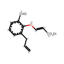 C=CCc1cccc(C=O)c1OC=CC(=O)OCC